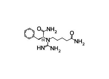 N=C(N)N(CCCCC(N)=O)[C@@H](Cc1ccccc1)C(N)=O